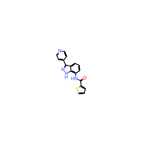 O=C(Nc1cccc2c(-c3ccncc3)n[nH]c12)c1cccs1